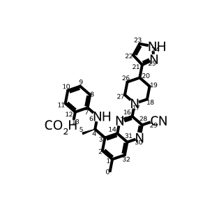 Cc1cc([C@@H](C)Nc2ccccc2C(=O)O)c2nc(N3CCC(c4cc[nH]n4)CC3)c(C#N)nc2c1